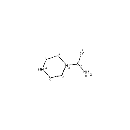 N[S+]([O-])N1CCNCC1